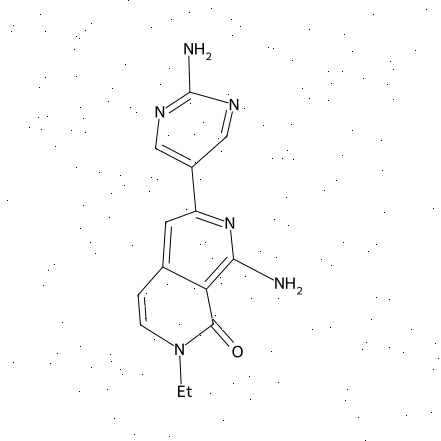 CCn1ccc2cc(-c3cnc(N)nc3)nc(N)c2c1=O